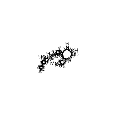 CO[C@]1(C)C[C@@H](C)C(=N)[C@H](C)[C@@H](O)[C@](C)(O)[C@@H](I)OC(=O)[C@H](C)C([C@H]2C[C@@](C)(OC)[C@@H](O)[C@H](C)O2)[C@H](C)[C@H]1O[C@@H]1O[C@H](C)C[C@H](N(C)CCC(=O)N[C@H](CF)[C@H](O)c2ccc(-c3ccc(C)nc3)cc2)[C@H]1O